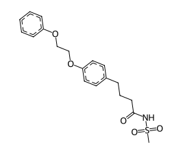 CS(=O)(=O)NC(=O)CCCc1ccc(OCCOc2ccccc2)cc1